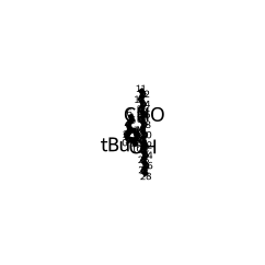 CC(C)(C)c1cc(CCC=O)ccc1O.CCCCCCCCCCCCCCCCCC